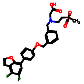 CS(=O)(=O)CCN(CC(=O)O)Cc1cccc(COc2ccc(-c3cc(F)c(F)c4ccoc34)cc2)c1